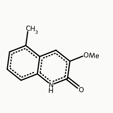 COc1cc2c(C)cccc2[nH]c1=O